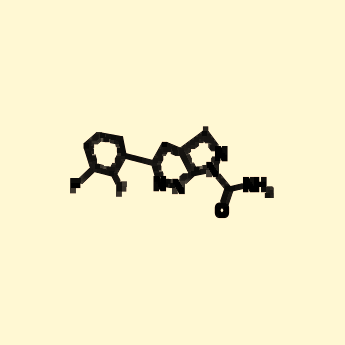 NC(=O)n1n[c]c2cc(-c3cccc(F)c3F)nnc21